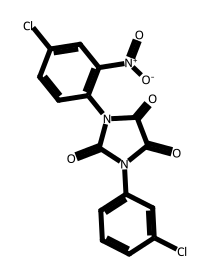 O=C1C(=O)N(c2ccc(Cl)cc2[N+](=O)[O-])C(=O)N1c1cccc(Cl)c1